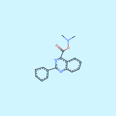 CN(C)OC(=O)c1nc(-c2ccccc2)nc2ccccc12